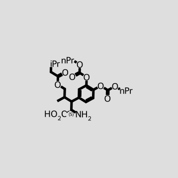 CCCOC(=O)Oc1ccc(C(C(C)COC(=O)CC(C)C)[C@H](N)C(=O)O)cc1OC(=O)OCCC